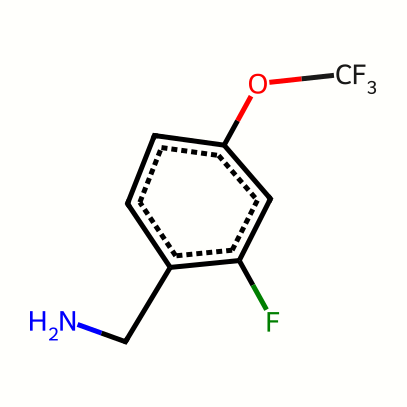 NCc1ccc(OC(F)(F)F)cc1F